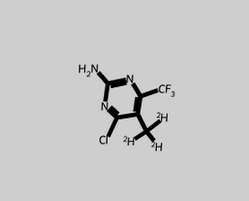 [2H]C([2H])([2H])c1c(Cl)nc(N)nc1C(F)(F)F